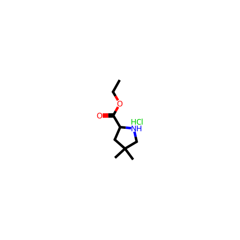 CCOC(=O)C1CC(C)(C)CN1.Cl